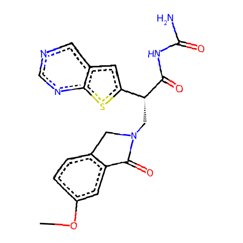 COc1ccc2c(c1)C(=O)N(C[C@@H](C(=O)NC(N)=O)c1cc3cncnc3s1)C2